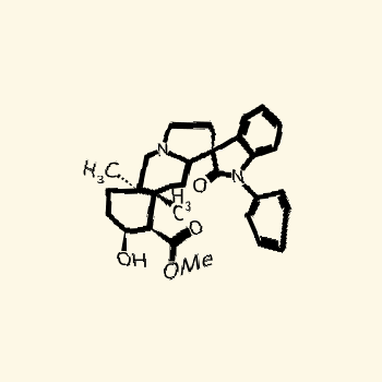 COC(=O)[C@H]1[C@@H](O)CC[C@@]2(C)CN3CC[C@@]4(C(=O)N(c5ccccc5)c5ccccc54)C3C[C@]12C